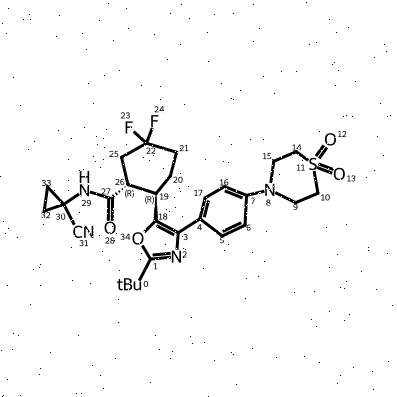 CC(C)(C)c1nc(-c2ccc(N3CCS(=O)(=O)CC3)cc2)c([C@@H]2CCC(F)(F)C[C@H]2C(=O)NC2(C#N)CC2)o1